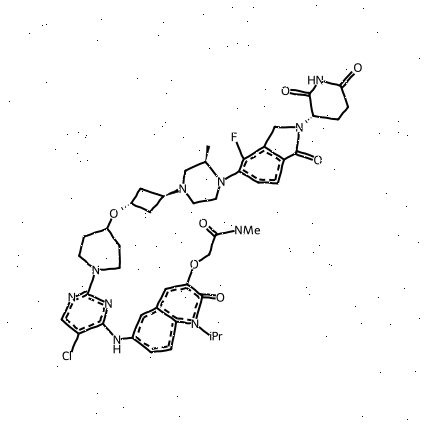 CNC(=O)COc1cc2cc(Nc3nc(N4CCC(O[C@H]5C[C@H](N6CCN(c7ccc8c(c7F)CN([C@H]7CCC(=O)NC7=O)C8=O)[C@H](C)C6)C5)CC4)ncc3Cl)ccc2n(C(C)C)c1=O